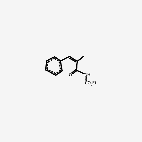 CCOC(=O)NC(=O)C(C)=Cc1ccccc1